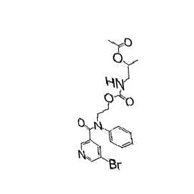 CC(=O)OC(C)CNC(=O)OCCN(C(=O)c1cncc(Br)c1)c1ccccc1